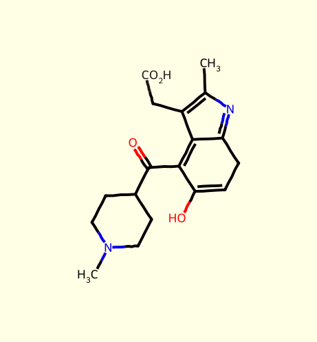 CC1=C(CC(=O)O)C2=C(C(=O)C3CCN(C)CC3)C(O)=CCC2=N1